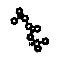 C1=CCCC(n2c3c(c4ccccc42)CCC(C2=CC4=C(CC2)N(c2cccc(C5N=C(c6ccccc6)c6ccccc6N5)c2)C2C=CC=CC42)=C3)=C1